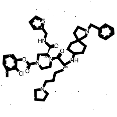 Cc1cccc(OC(=O)N2CCN(C(=O)[C@@H](CCCCN3CCCC3)NC3CCC4(CC3)CCN(Cc3ccccc3)C4)[C@H](C(=O)NCc3cccs3)C2)c1Cl